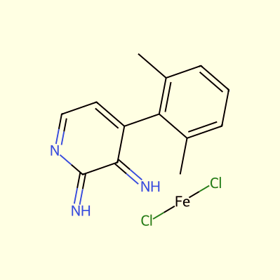 Cc1cccc(C)c1C1=CC=NC(=N)C1=N.[Cl][Fe][Cl]